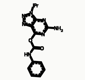 CC(C)n1nnc2c(OC(=O)Nc3ccccc3)nc(N)nc21